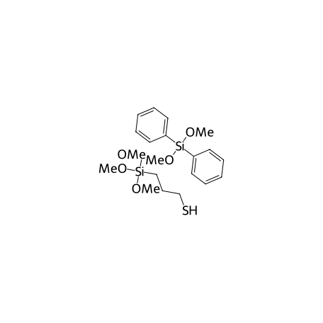 CO[Si](CCCS)(OC)OC.CO[Si](OC)(c1ccccc1)c1ccccc1